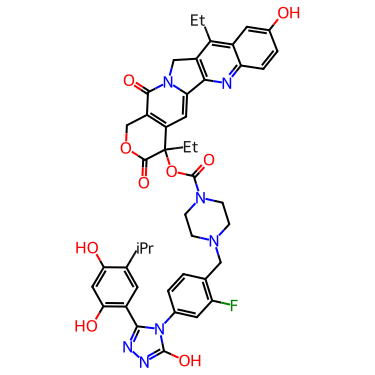 CCc1c2c(nc3ccc(O)cc13)-c1cc3c(c(=O)n1C2)COC(=O)C3(CC)OC(=O)N1CCN(Cc2ccc(-n3c(O)nnc3-c3cc(C(C)C)c(O)cc3O)cc2F)CC1